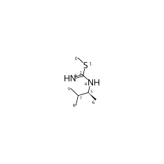 CSC(=N)N[C@@H](C)C(C)C